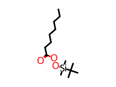 CCCCCCCC(=O)OO[Si](C)(C)C(C)(C)C